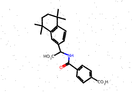 CC1(C)CCC(C)(C)c2cc(C(NC(=O)c3ccc(C(=O)O)cc3)C(=O)O)ccc21